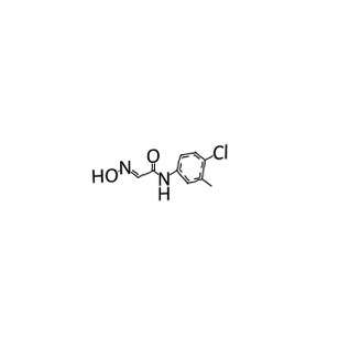 Cc1cc(NC(=O)C=NO)ccc1Cl